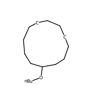 CCCCOC1CCCCCCCCCCC1